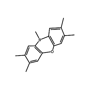 CB1c2cc(C)c(C)cc2Oc2cc(C)c(C)cc21